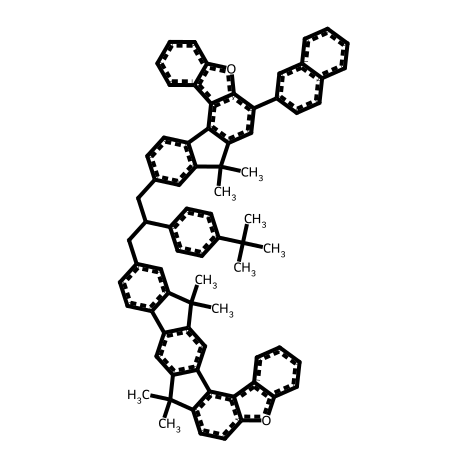 CC(C)(C)c1ccc(C(Cc2ccc3c(c2)C(C)(C)c2cc4c(cc2-3)C(C)(C)c2ccc3oc5ccccc5c3c2-4)Cc2ccc3c(c2)C(C)(C)c2cc(-c4ccc5ccccc5c4)c4oc5ccccc5c4c2-3)cc1